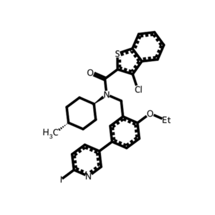 CCOc1ccc(-c2ccc(I)nc2)cc1CN(C(=O)c1sc2ccccc2c1Cl)[C@H]1CC[C@H](C)CC1